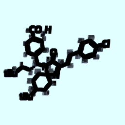 CC(C)(C)CC[C@H](c1ccc(C(=O)O)cc1)N1C(=O)C(/C=C/c2ccc(Cl)cc2)=NC12CCC(C(C)(C)C)CC2